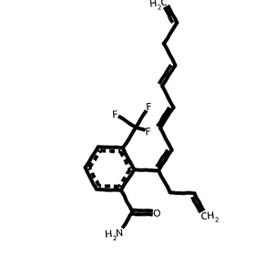 C=CC/C=C/C=C/C=C(/CC=C)c1c(C(N)=O)cccc1C(F)(F)F